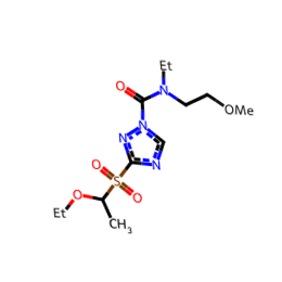 CCOC(C)S(=O)(=O)c1ncn(C(=O)N(CC)CCOC)n1